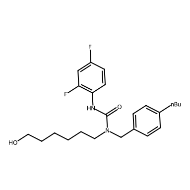 CCCCc1ccc(CN(CCCCCCO)C(=O)Nc2ccc(F)cc2F)cc1